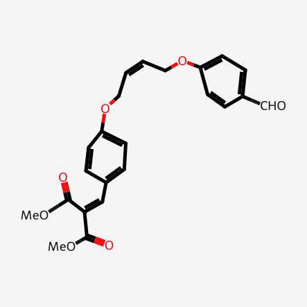 COC(=O)C(=Cc1ccc(OC/C=C\COc2ccc(C=O)cc2)cc1)C(=O)OC